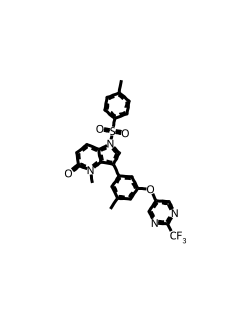 Cc1ccc(S(=O)(=O)n2cc(-c3cc(C)cc(Oc4cnc(C(F)(F)F)nc4)c3)c3c2ccc(=O)n3C)cc1